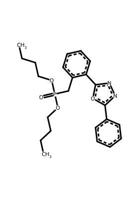 CCCCOP(=O)(Cc1ccccc1-c1nnc(-c2ccccc2)o1)OCCCC